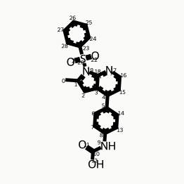 Cc1cc2c(-c3ccc(NC(=O)O)cc3)ccnc2n1S(=O)(=O)c1ccccc1